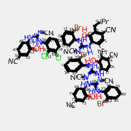 CC(C)Cc1c(C#N)ccc(NC(=NC#N)Nc2ccccc2Br)c1O.CCCc1c(C#N)ccc(NC(=NC#N)Nc2ccccc2Br)c1O.N#CN=C(Nc1ccc(C#N)cc1O)Nc1cccc(Cl)c1Cl.N#CN=C(Nc1ccc(C#N)cc1O)Nc1ccccc1Br